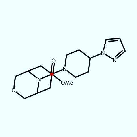 COC(=O)N1C2COCC1CC(N1CCC(n3cccn3)CC1)C2